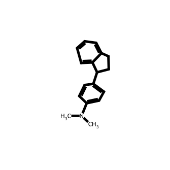 CN(C)c1ccc(C2CCc3ccccc32)cc1